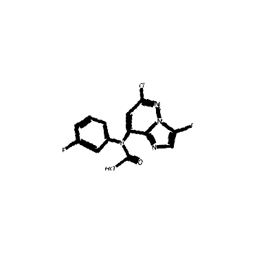 O=C(O)N(c1cccc(F)c1)c1cc(Cl)nn2c(I)cnc12